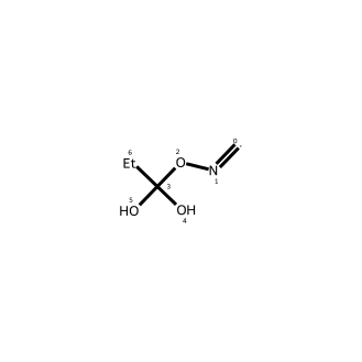 [CH]=NOC(O)(O)CC